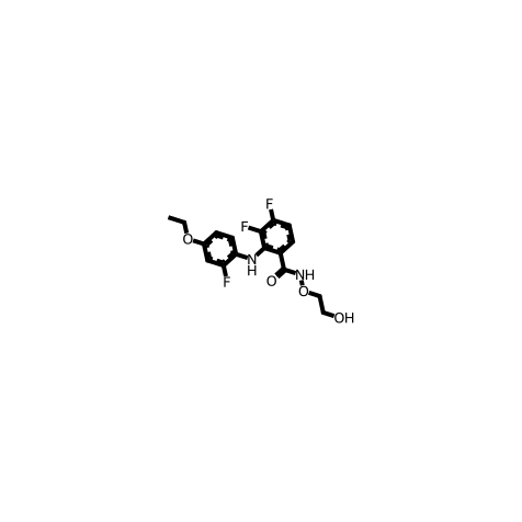 CCOc1ccc(Nc2c(C(=O)NOCCO)ccc(F)c2F)c(F)c1